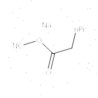 CCCCC(=O)OC#N.[Na]